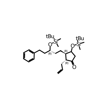 C=CC[C@H]1C(=O)CC(O[Si](C)(C)C(C)(C)C)[C@@H]1CC[C@H](CCc1ccccc1)O[Si](C)(C)C(C)(C)C